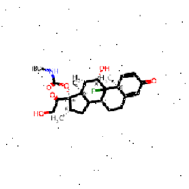 CCC(C)NC(=O)O[C@@]1(C(=O)CO)[C@@H](C)CC2C3CCC4=CC(=O)C=C[C@]4(C)C3(F)[C@@H](O)C[C@@]21C